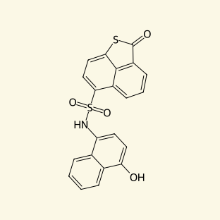 O=C1Sc2ccc(S(=O)(=O)Nc3ccc(O)c4ccccc34)c3cccc1c23